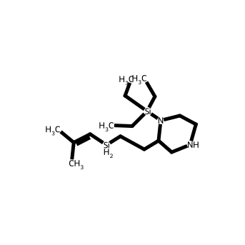 CC[Si](CC)(CC)N1CCNCC1CC[SiH2]C=C(C)C